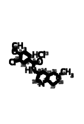 COc1ccc(C(=O)Nc2cnc3c(c2)CN(C)CC3)cc1Cl.Cl